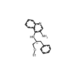 CCOC[C@H](Cc1ccccc1)Nc1c(N)cnc2ccccc12